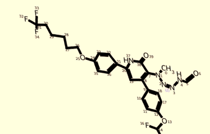 CN(/N=N\NC=O)c1c(-c2ccc(OC(F)F)cc2)cc(-c2ccc(OCCCCCC(F)(F)F)cc2)[nH]c1=O